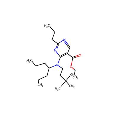 CCCc1ncc(C(=O)OCC)c(N(CCC(C)(C)C)C(CCC)CCC)n1